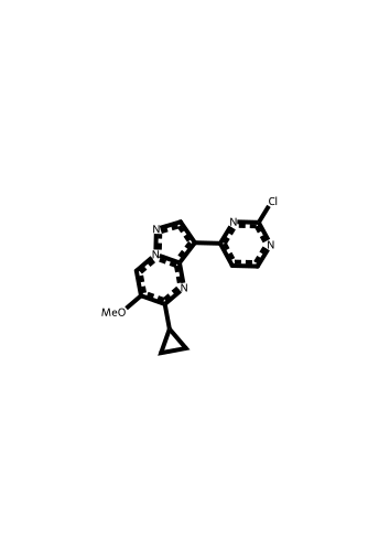 COc1cn2ncc(-c3ccnc(Cl)n3)c2nc1C1CC1